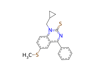 CSc1ccc2c(c1)c(-c1ccccc1)nc(=S)n2CC1CC1